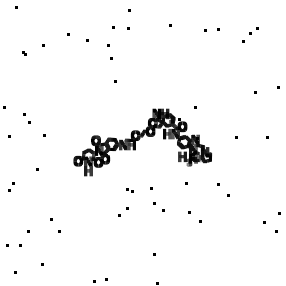 C[C@H]1CCCN1Cc1nc2cc(NC(=O)C3=CC=CC(CCOCCOCCNc4ccc5c(c4)C(=O)N(C4CCC(=O)NC4=O)C5=O)(C(N)=O)C3)ccc2[nH]1